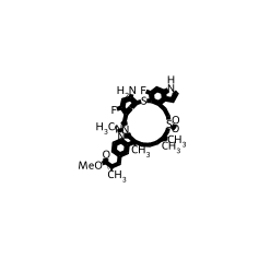 COC(=O)[C@H](C)Cc1cccc([C@@]2(C)CCCC(C)(C)CS(=O)(=O)CCc3c(c(F)cc4[nH]ccc34)Sc3cc(c(F)cc3N)-c3nc2nn3C)c1